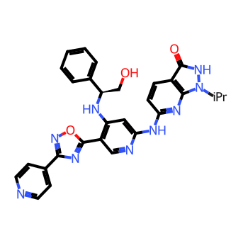 CC(C)n1[nH]c(=O)c2ccc(Nc3cc(N[C@H](CO)c4ccccc4)c(-c4nc(-c5ccncc5)no4)cn3)nc21